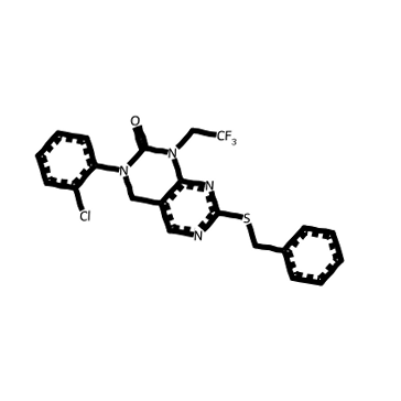 O=C1N(c2ccccc2Cl)Cc2cnc(SCc3ccccc3)nc2N1CC(F)(F)F